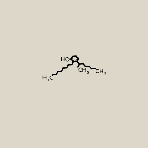 CCCCCCCCCc1c(O)cccc1C(CC)CCCCCC